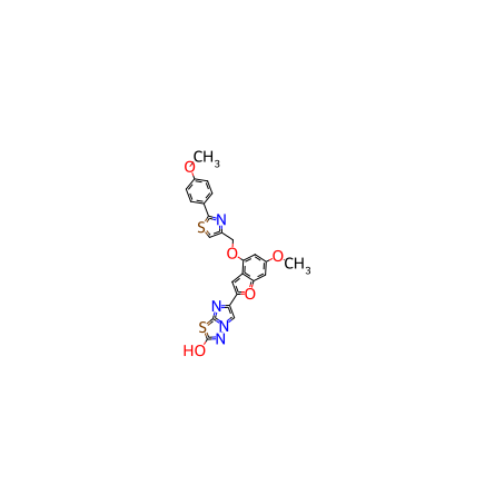 COc1ccc(-c2nc(COc3cc(OC)cc4oc(-c5cn6nc(O)sc6n5)cc34)cs2)cc1